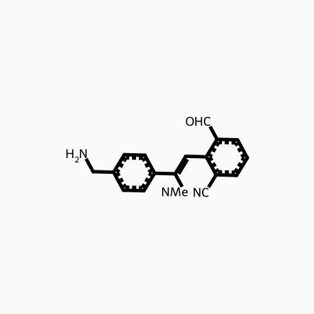 CN/C(=C\c1c(C#N)cccc1C=O)c1ccc(CN)cc1